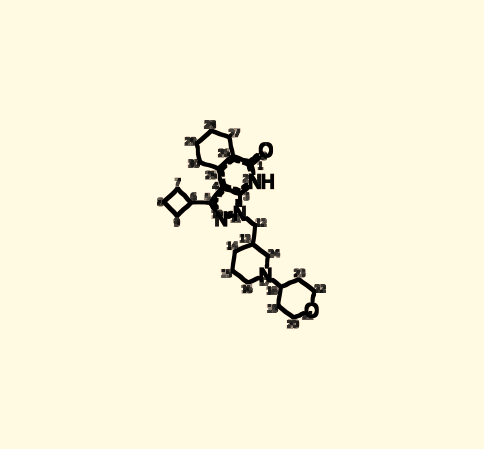 O=c1[nH]c2c(c(C3CCC3)nn2CC2CCCN(C3CCOCC3)C2)c2c1CCCC2